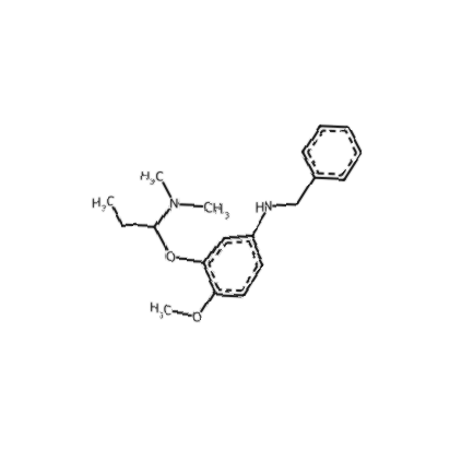 CCC(Oc1cc(NCc2ccccc2)ccc1OC)N(C)C